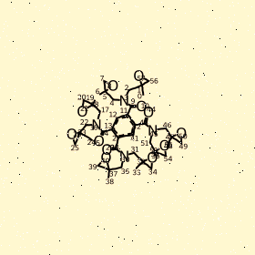 CC1(CN(CC2(C)CO2)C(=O)c2cc(C(=O)N(CC3(C)CO3)CC3(C)CO3)c(C(=O)N(CC3(C)CO3)CC3(C)CO3)cc2C(=O)N(CC2(C)CO2)CC2(C)CO2)CO1